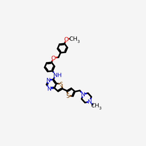 COc1ccc(COc2cccc(Nc3ncnc4cc(-c5cc(CN6CCN(C)CC6)cs5)sc34)c2)cc1